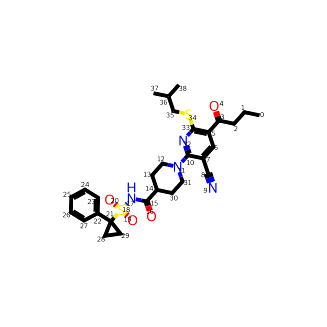 CCCC(=O)c1cc(C#N)c(N2CCC(C(=O)NS(=O)(=O)C3(c4ccccc4)CC3)CC2)nc1SCC(C)C